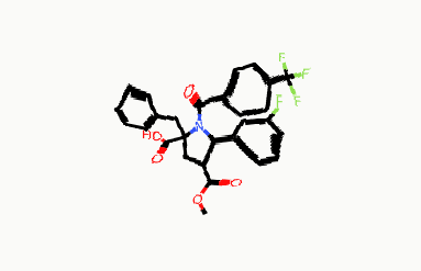 COC(=O)C1CC(Cc2ccccc2)(C(=O)O)N(C(=O)c2ccc(C(F)(F)F)cc2)C1c1cccc(F)c1